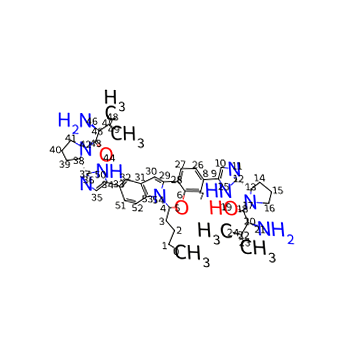 CCCCC1Oc2cc(-c3cnc([C@@H]4CCCN4C(O)[C@@H](N)C(C)C)[nH]3)ccc2-c2cc3cc(-c4cnc([C@@H]5CCCN5C(=O)[C@@H](N)C(C)C)[nH]4)ccc3n21